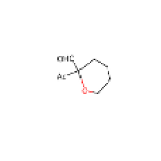 CC(=O)C1(C=O)CCCCO1